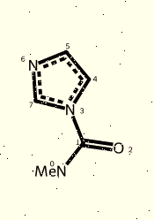 C[N]C(=O)n1ccnc1